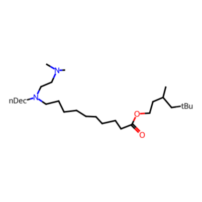 CCCCCCCCCCN(CCCCCCCCCC(=O)OCCC(C)CC(C)(C)C)CCN(C)C